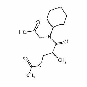 CC(=O)SCC(C)C(=O)N(CC(=O)O)C1CCCCC1